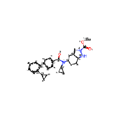 CC(C)(C)OC(=O)N1C=C2CC(N(C(=O)c3ccc(-c4ccccc4C4CC4)cc3)C3CC3)CCC2N1